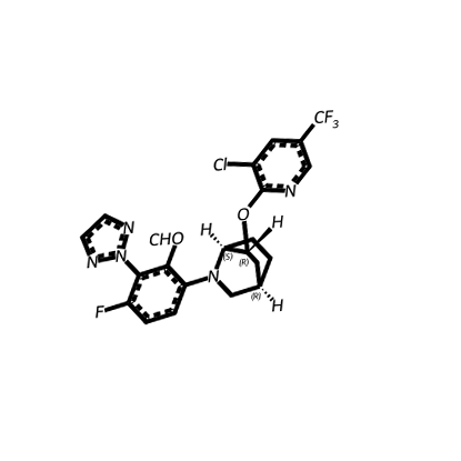 O=Cc1c(N2C[C@@H]3CC[C@H]2[C@H](Oc2ncc(C(F)(F)F)cc2Cl)C3)ccc(F)c1-n1nccn1